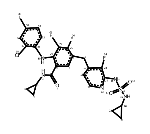 O=C(NC1CC1)c1cc(Cc2ccnc(NS(=O)(=O)NC3CC3)c2F)c(F)c(F)c1Nc1ccc(I)cc1Cl